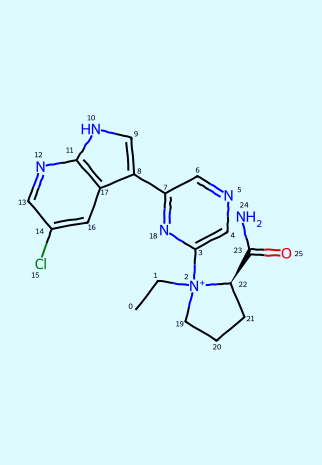 CC[N+]1(c2cncc(-c3c[nH]c4ncc(Cl)cc34)n2)CCC[C@@H]1C(N)=O